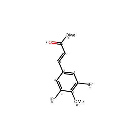 COC(=O)C=Cc1cc(C(C)C)c(OC)c(C(C)C)c1